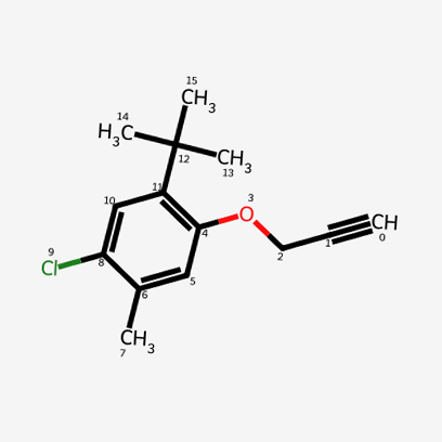 C#CCOc1cc(C)c(Cl)cc1C(C)(C)C